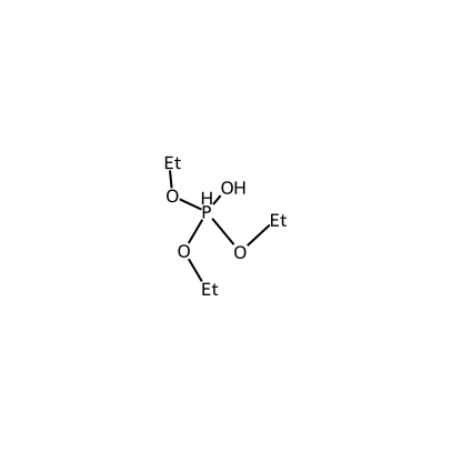 CCO[PH](O)(OCC)OCC